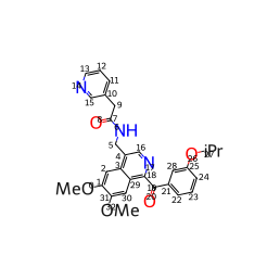 COc1cc2c(CNC(=O)Cc3cccnc3)cnc(C(=O)c3cccc(OC(C)C)c3)c2cc1OC